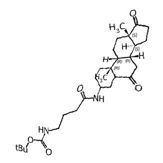 CC(C)(C)OC(=O)NCCCC(=O)NC1CC[C@@]2(C)C(C1)C(=O)C[C@@H]1[C@H]2CC[C@]2(C)C(=O)CC[C@@H]12